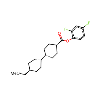 COC[C@H]1CC[C@H]([C@H]2CC[C@H](C(=O)Oc3ccc(F)cc3F)CC2)CC1